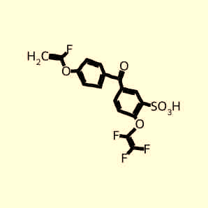 C=C(F)Oc1ccc(C(=O)c2ccc(OC(F)=C(F)F)c(S(=O)(=O)O)c2)cc1